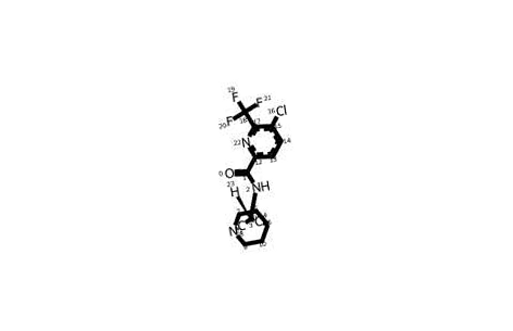 O=C(N[C@@H]1CC2CCN(CC2)C1)c1ccc(Cl)c(C(F)(F)F)n1